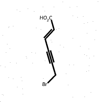 O=C(O)C=CC#CCBr